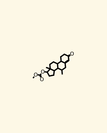 COC(=O)OC1CCC2C3C(C)CC4=CC(=O)CCC4C3CCC12C